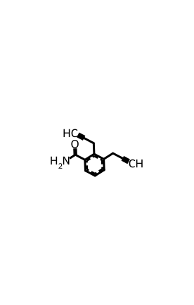 C#CCc1cccc(C(N)=O)c1CC#C